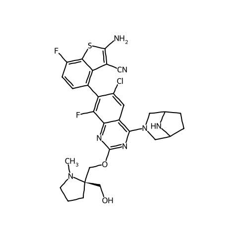 CN1CCC[C@@]1(CO)COc1nc(N2CC3CCC(C2)N3)c2cc(Cl)c(-c3ccc(F)c4sc(N)c(C#N)c34)c(F)c2n1